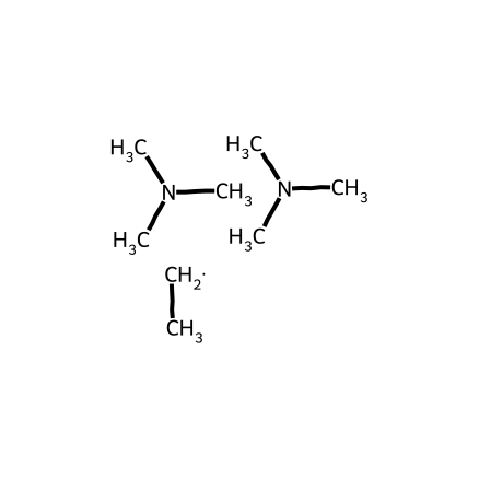 CN(C)C.CN(C)C.[CH2]C